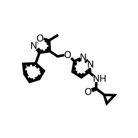 Cc1onc(-c2ccccc2)c1COc1ccc(NC(=O)C2CC2)nn1